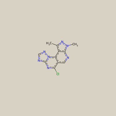 Cc1nn(C)c2ncc3c(Cl)nc4ncnn4c3c12